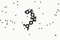 O=C(c1ccncc1)N1CCC(C2(C(=O)Nc3ccc(-c4cc(F)cc(F)c4)cc3)CC2)CC1